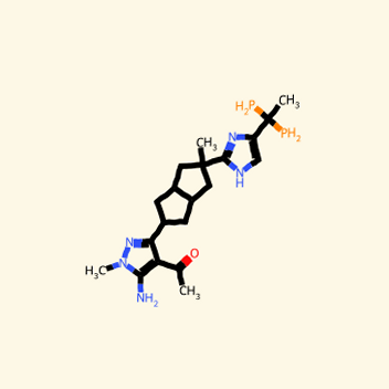 CC(=O)c1c(C2CC3CC(C)(c4nc(C(C)(P)P)c[nH]4)CC3C2)nn(C)c1N